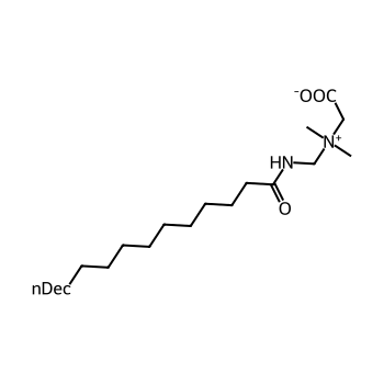 CCCCCCCCCCCCCCCCCCCC(=O)NC[N+](C)(C)CC(=O)[O-]